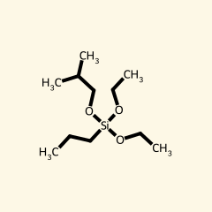 CCC[Si](OCC)(OCC)OCC(C)C